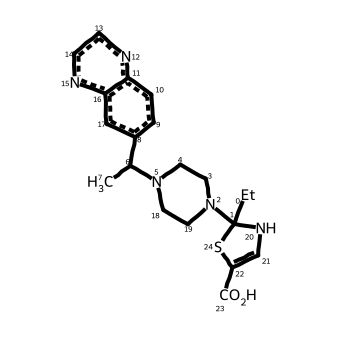 CCC1(N2CCN(C(C)c3ccc4nccnc4c3)CC2)NC=C(C(=O)O)S1